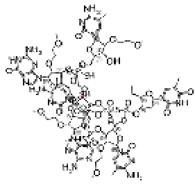 CC[C@H]1O[C@@H](n2cc(C)c(=O)[nH]c2=O)C[C@H]1OP(=O)(S)OC[C@H]1O[C@@H](n2cc(C)c(N)nc2=O)C(OCCOC)[C@H]1OP(=O)(S)OC[C@H]1O[C@@H](n2cc(C)c(N)nc2=O)C(OCCOC)[C@H]1OP(=O)(S)OC[C@H]1O[C@@H](n2cnc3c(N)ncnc32)C(OCCOC)[C@H]1OP(=O)(S)OC[C@H]1O[C@@H](n2cnc3c(=O)[nH]c(N)nc32)C(OCCOC)[C@H]1OP(=O)(S)OC[C@H]1O[C@@H](n2cc(C)c(N)nc2=O)C(OCCOC)[C@H]1O